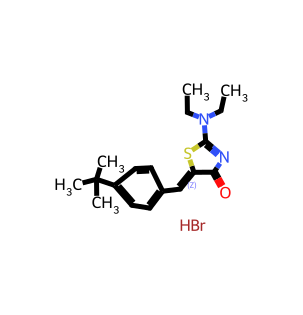 Br.CCN(CC)C1=NC(=O)/C(=C/c2ccc(C(C)(C)C)cc2)S1